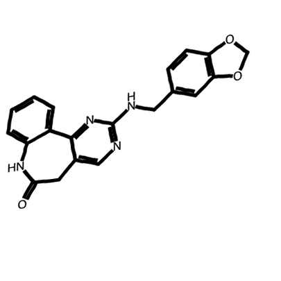 O=C1Cc2cnc(NCc3ccc4c(c3)OCO4)nc2-c2ccccc2N1